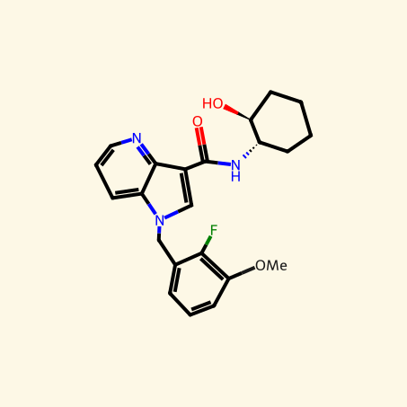 COc1cccc(Cn2cc(C(=O)N[C@H]3CCCC[C@@H]3O)c3ncccc32)c1F